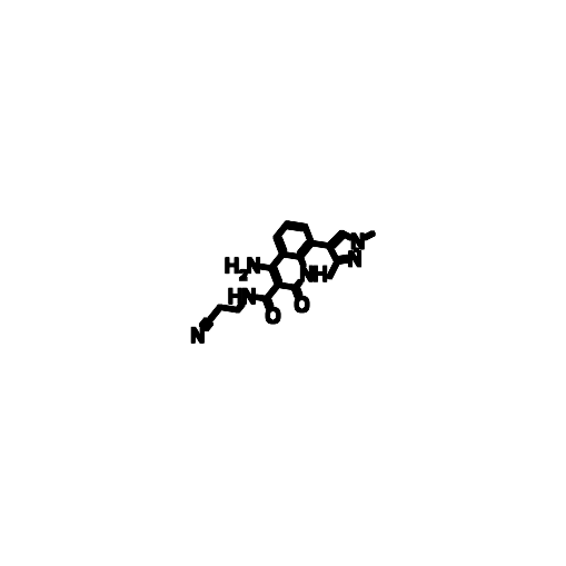 Cc1nn(C)cc1-c1cccc2c(N)c(C(=O)NCCC#N)c(=O)[nH]c12